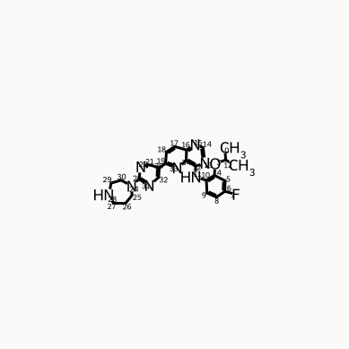 CC(C)Oc1cc(F)ccc1Nc1ncnc2ccc(-c3cnc(N4CCCNCC4)nc3)nc12